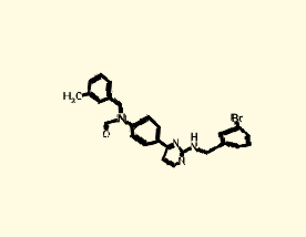 Cc1cccc(CN(C=O)c2ccc(-c3ccnc(NCc4cccc(Br)c4)n3)cc2)c1